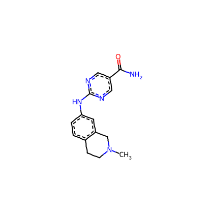 CN1CCc2ccc(Nc3ncc(C(N)=O)cn3)cc2C1